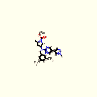 CC1CC(N(Cc2cc(C(F)(F)F)cc(C(F)(F)F)c2)c2ncc(-c3cnn(C)c3)cn2)CN1C(=O)OC(C)(C)C